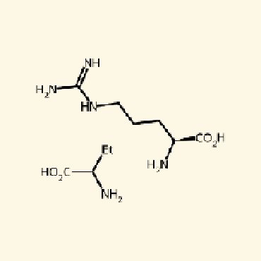 CCC(N)C(=O)O.N=C(N)NCCC[C@H](N)C(=O)O